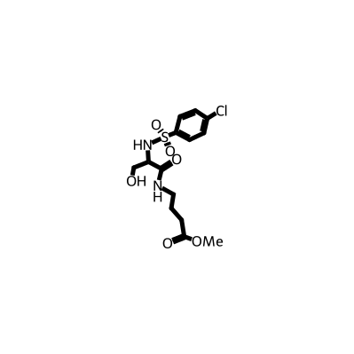 COC(=O)CCCNC(=O)C(CO)NS(=O)(=O)c1ccc(Cl)cc1